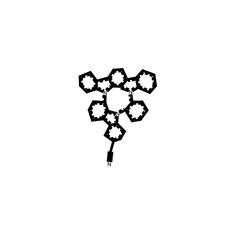 N#Cc1ccc2c(c1)c1cccc3c1n2c1ccccc1n1c2ccccc2c2ccc4c5ccccc5n3c4c21